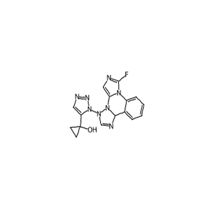 OC1(c2cnnn2N2C=NC3c4ccccc4-n4c(cnc4F)N32)CC1